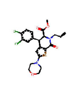 C=CCN1C(=O)c2sc(N3CCOCC3)cc2C(c2ccc(Cl)c(Cl)c2)C1C(=O)OC